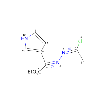 CCOC(=O)/C(=N/N=C(\C)Cl)c1cc[nH]c1